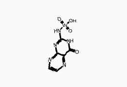 O=c1[nH]c([NH][W](=[O])(=[O])[OH])nc2nccnc12